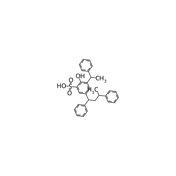 CC(CC(c1ccccc1)c1cc(C(C)c2ccccc2)c(O)c(S(=O)(=O)O)c1)c1ccccc1